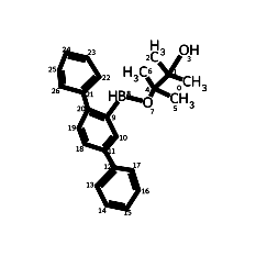 CC(C)(O)C(C)(C)OBc1cc(-c2ccccc2)ccc1-c1ccccc1